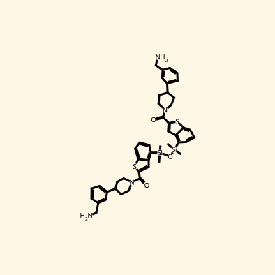 C[Si](C)(O[Si](C)(C)c1cccc2sc(C(=O)N3CCC(c4cccc(CN)c4)CC3)cc12)c1cccc2sc(C(=O)N3CCC(c4cccc(CN)c4)CC3)cc12